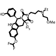 CCN(CCCN1C(=O)N2[C@H](c3cccc(O)c3)c3[nH]c4ccc(OC(F)F)cc4c3C[C@@]2(C)C1=O)CCOC